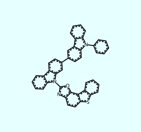 c1ccc(-n2c3ccccc3c3cc(-c4ccc5c6ccccc6n(-c6nc7ccc8sc9ccccc9c8c7o6)c5c4)ccc32)cc1